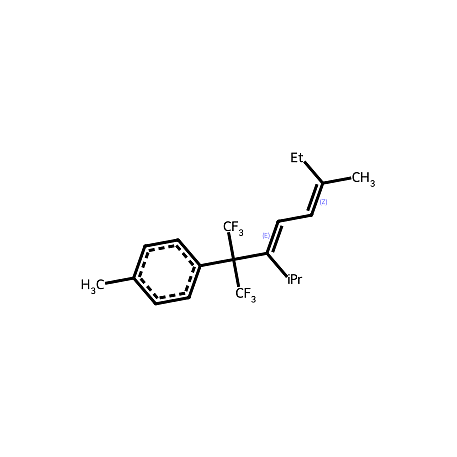 CC/C(C)=C\C=C(/C(C)C)C(c1ccc(C)cc1)(C(F)(F)F)C(F)(F)F